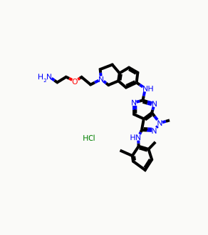 Cc1cccc(C)c1Nc1nn(C)c2nc(Nc3ccc4c(c3)CN(CCOCCN)CC4)ncc12.Cl